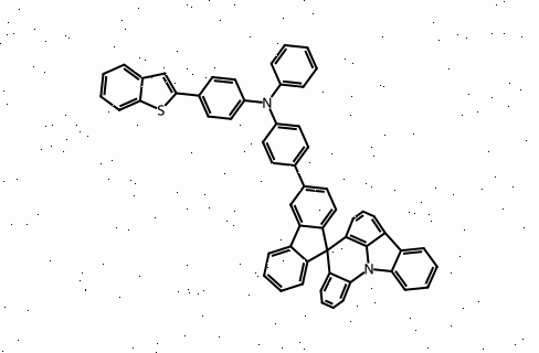 c1ccc(N(c2ccc(-c3ccc4c(c3)-c3ccccc3C43c4ccccc4-n4c5ccccc5c5cccc3c54)cc2)c2ccc(-c3cc4ccccc4s3)cc2)cc1